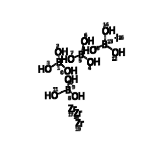 OB(O)O.OB(O)O.OB(O)O.OB(O)O.[I].[Zr].[Zr].[Zr]